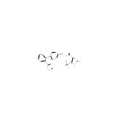 CCc1nc(C(=O)OCc2ccc(-c3ccccc3-c3nnn[nH]3)cc2)c(C(C)(C)O)n1CC